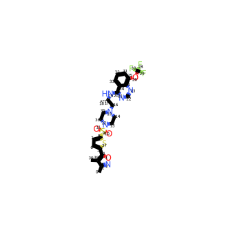 Cc1noc(-c2ccc(S(=O)(=O)N3CCN(C[C@H](C)Nc4ncnc5c(OC(F)(F)F)cccc45)CC3)s2)c1C